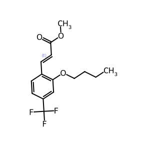 CCCCOc1cc(C(F)(F)F)ccc1/C=C/C(=O)OC